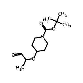 CC(C=O)OC1CCN(C(=O)OC(C)(C)C)CC1